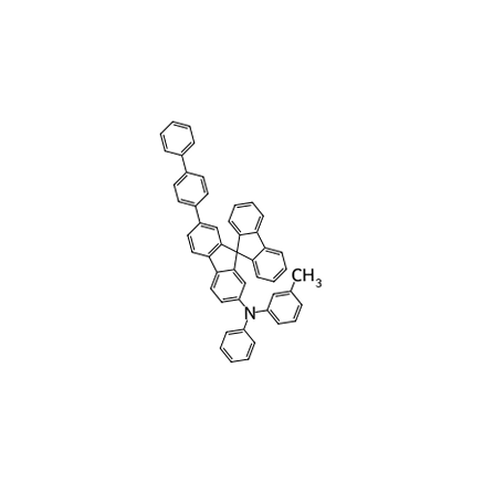 Cc1cccc(N(c2ccccc2)c2ccc3c(c2)C2(c4ccccc4-c4ccccc42)c2cc(-c4ccc(-c5ccccc5)cc4)ccc2-3)c1